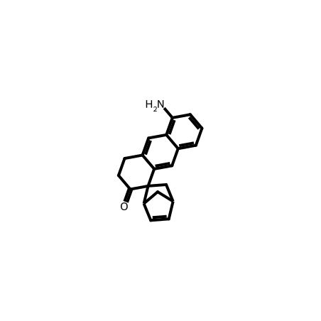 Nc1cccc2cc3c(cc12)CCC(=O)C31CC2C=CC1C2